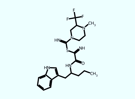 CCCC(Cc1c[nH]c2ccccc12)NC(=O)C(=N)SC(=N)N1CCN(C)C(C(F)(F)F)C1